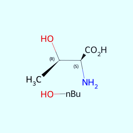 CCCCO.C[C@@H](O)[C@H](N)C(=O)O